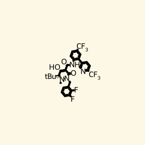 CN1[C@@H](C(C)(C)C)C(O)=C(C(=O)Nc2ccc(C(F)(F)F)cc2-c2ccc(C(F)(F)F)nc2)C(=O)N1Cc1cccc(F)c1F